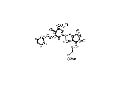 CCOC(=O)c1cn([C@@H](Cc2cc(OCCCOC)c(Cl)nc2C)C(C)(C)C)cc(OCc2ccccc2)c1=O